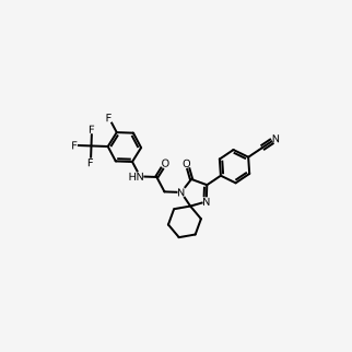 N#Cc1ccc(C2=NC3(CCCCC3)N(CC(=O)Nc3ccc(F)c(C(F)(F)F)c3)C2=O)cc1